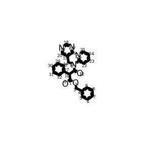 O=C(OCc1ccccc1)C(C(=O)N(Cc1cncnc1)c1ccccn1)c1ccccc1